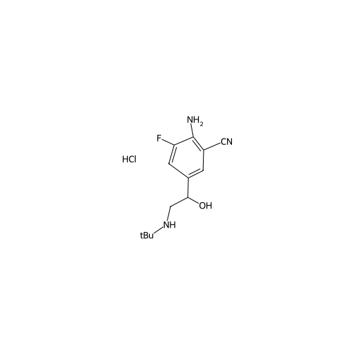 CC(C)(C)NCC(O)c1cc(F)c(N)c(C#N)c1.Cl